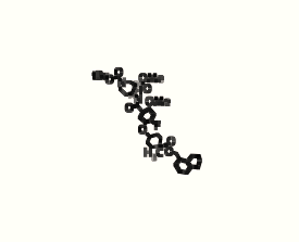 COC(=O)[C@H]1CN(C(=O)OC(C)(C)C)CC[C@H]1NC(=O)c1cc(OC2CCC(C)(C(=O)OCc3cccc4ccccc34)CC2)c(F)cc1OC